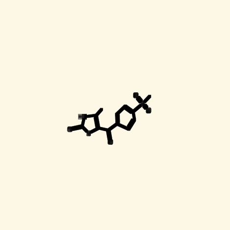 Cc1[nH]c(=O)sc1C(=O)c1ccc(S(C)(=O)=O)cc1